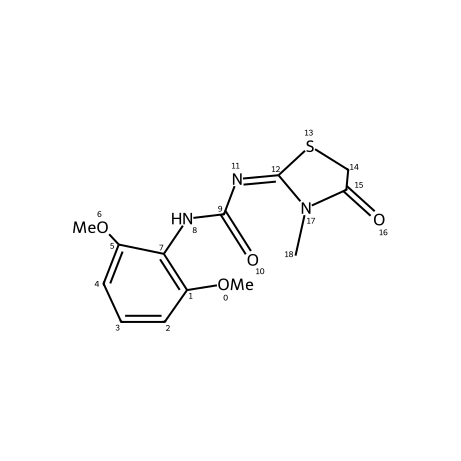 COc1cccc(OC)c1NC(=O)N=C1SCC(=O)N1C